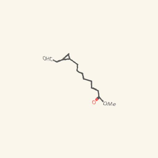 COC(=O)CCCCCCCC1CC1CC=O